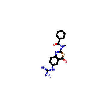 CN(C(=O)c1ccccc1)c1nc2ccc(NC(=N)N)cc2c(=O)s1